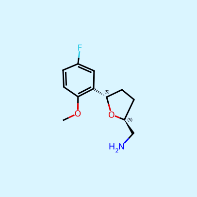 COc1ccc(F)cc1[C@@H]1CC[C@@H](CN)O1